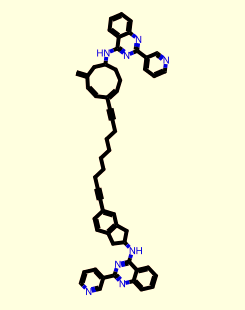 C=C1/C=C\C(C#CCCCCCCC#Cc2ccc3c(c2)CC(Nc2nc(-c4cccnc4)nc4ccccc24)C3)=C/CCC(Nc2nc(-c3cccnc3)nc3ccccc23)C1